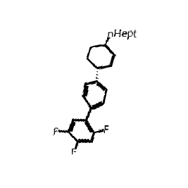 CCCCCCC[C@H]1CC[C@H](c2ccc(-c3cc(F)c(F)cc3F)cc2)CC1